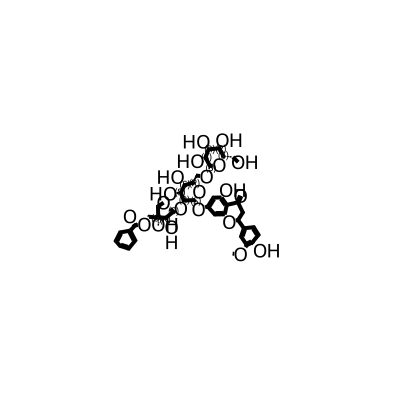 COc1cc(C2CC(=O)c3c(O)cc(O[C@@H]4O[C@H](CO[C@H]5O[C@@H](CO)[C@H](O)[C@@H](O)[C@@H]5O)[C@@H](O)[C@H](O)[C@H]4O[C@@H]4OC[C@](O)(COC(=O)c5ccccc5)[C@H]4O)cc3O2)ccc1O